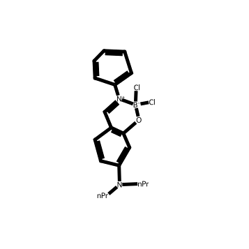 CCCN(CCC)c1ccc2c(c1)O[B-](Cl)(Cl)[N+](c1ccccc1)=C2